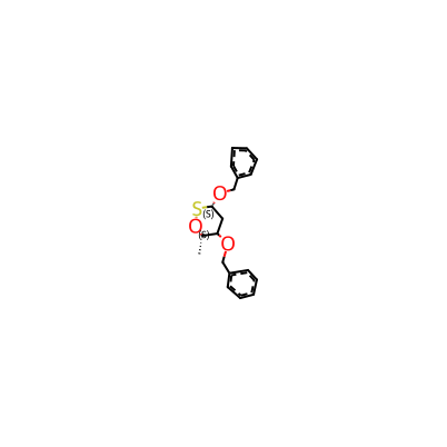 C[C@@H]1OS[C@H](OCc2ccccc2)CC1OCc1ccccc1